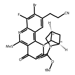 CSc1nc2c(F)c(Br)c(CCC#N)cc2c2c1c(=O)ccn2C1[C@@H]2C[C@H]1N(C(=O)OC(C)(C)C)C2